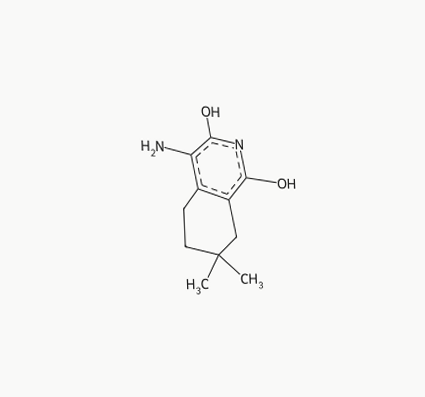 CC1(C)CCc2c(N)c(O)nc(O)c2C1